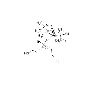 CC(C)(C)[Si](C)(C)O[Si](C)(C)C(C)(C)C.OCC[C@H]1[C@@H](CCCCl)C1(Br)Br